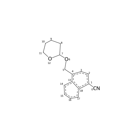 N#Cc1ccc(COC2CCCCO2)c2ccccc12